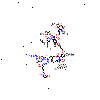 C=C1C[C@@H](CO[Si](C)(C)C(C)(C)C)N(C(=O)c2cc(OC)c(OCCCCCOc3cc(NC(=O)OCc4cc5c(n4C)C(=O)C=C(OC)C5=O)c(C(=O)N4CC(C)(C)C[C@H]4CO[Si](C)(C)C(C)(C)C)cc3OC)cc2NC(=O)OCc2ccc(NC(=O)[C@H](CCCNC(N)=O)NC(=O)[C@@H](NC(=O)CCCCCN3C(=O)C=CC3=O)C(C)C)cc2)C1